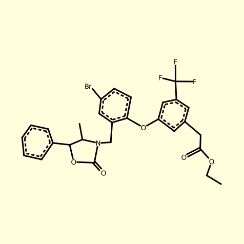 CCOC(=O)Cc1cc(Oc2ccc(Br)cc2CN2C(=O)OC(c3ccccc3)C2C)cc(C(F)(F)F)c1